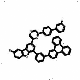 Fc1cccc(-c2ccc(-c3cncc(-c4cc(-c5cccc(-c6ccc7c8ccccc8c8ccccc8c7c6)c5)c5sc6ccc(F)cc6c5c4)n3)cc2)c1